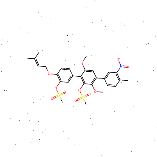 COc1cc(-c2ccc(C)c([N+](=O)[O-])c2)c(OC)c(OS(C)(=O)=O)c1-c1ccc(OCC=C(C)C)c(OS(C)(=O)=O)c1